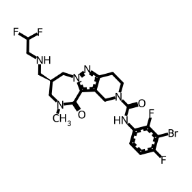 CN1C[C@@H](CNCC(F)F)Cn2nc3c(c2C1=O)CN(C(=O)Nc1ccc(F)c(Br)c1F)CC3